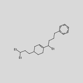 CCC(CC)CCC1CC=C(C(CC)CCCc2ccccc2)CC1